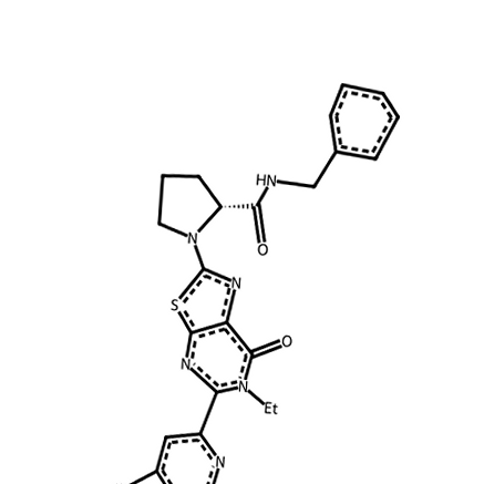 CCn1c(-c2cc(Cl)ccn2)nc2sc(N3CCC[C@@H]3C(=O)NCc3ccccc3)nc2c1=O